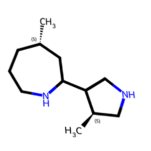 C[C@H]1CCCNC(C2CNC[C@H]2C)C1